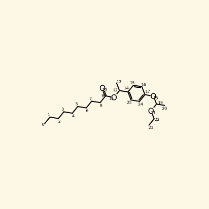 CCCCCCCCCC(=O)OC(C)c1ccc(OC(C)OCC)cc1